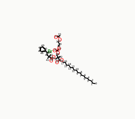 CCCCCCCCCCCCCCCCCCOC(=O)C(C)(COC(=O)OCCCOC(C)=O)COC(=O)C(C)(C)CC(Br)c1ccccc1